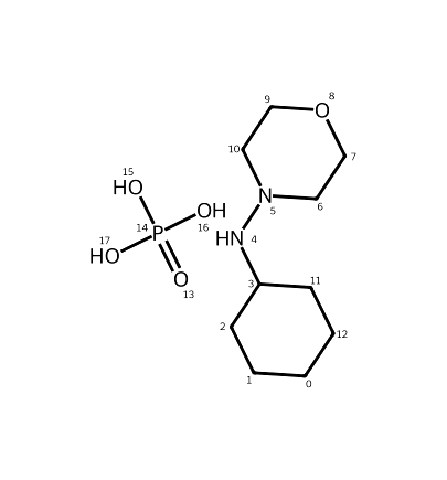 C1CCC(NN2CCOCC2)CC1.O=P(O)(O)O